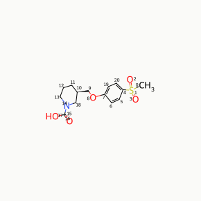 CS(=O)(=O)c1ccc(OC[C@@H]2CCCN(C(=O)O)C2)cc1